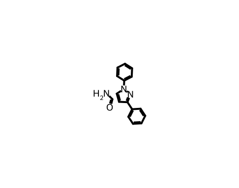 NC=O.c1ccc(-c2ccn(-c3ccccc3)n2)cc1